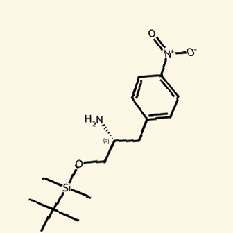 CC(C)(C)[Si](C)(C)OC[C@H](N)Cc1ccc([N+](=O)[O-])cc1